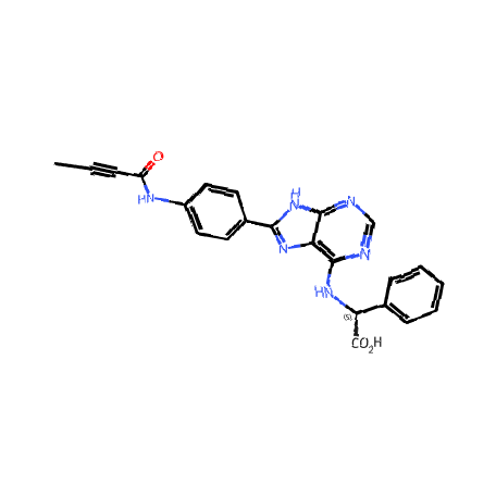 CC#CC(=O)Nc1ccc(-c2nc3c(N[C@H](C(=O)O)c4ccccc4)ncnc3[nH]2)cc1